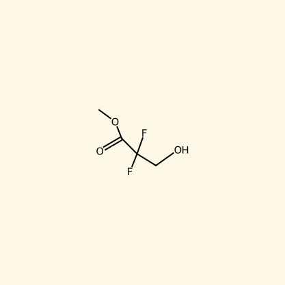 COC(=O)C(F)(F)CO